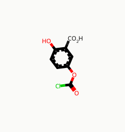 O=C(Cl)Oc1ccc(O)c(C(=O)O)c1